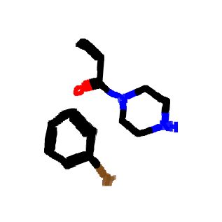 Brc1ccccc1.C=CC(=O)N1CCNCC1